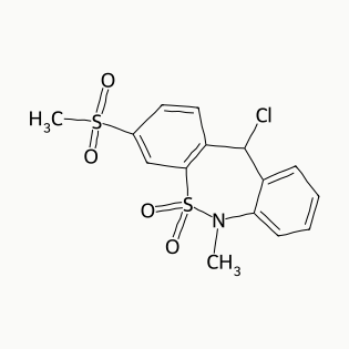 CN1c2ccccc2C(Cl)c2ccc(S(C)(=O)=O)cc2S1(=O)=O